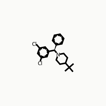 CC(C)(C)C1CCN([C@H](c2ccccc2)c2cc(Cl)cc(Cl)c2)CC1